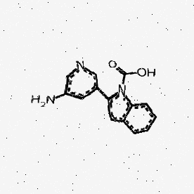 Nc1cncc(-c2cc3ccccc3n2C(=O)O)c1